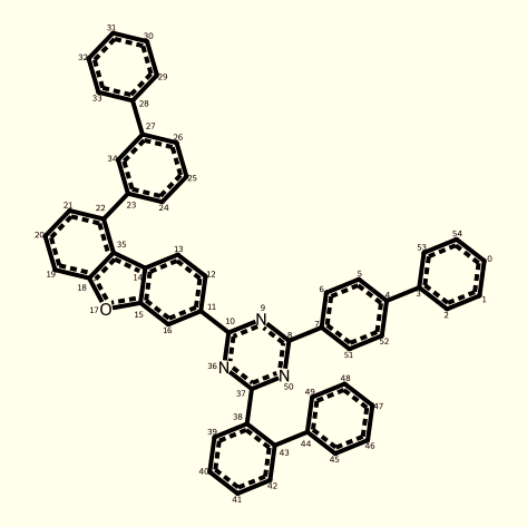 c1ccc(-c2ccc(-c3nc(-c4ccc5c(c4)oc4cccc(-c6cccc(-c7ccccc7)c6)c45)nc(-c4ccccc4-c4ccccc4)n3)cc2)cc1